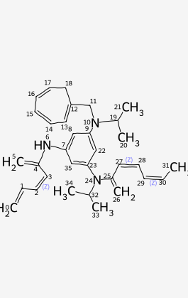 C=C/C=C\C(=C)Nc1cc(N(CC2=CC=CC=CC2)C(C)C)cc(N(C(=C)/C=C\C=C/C)C(C)C)c1